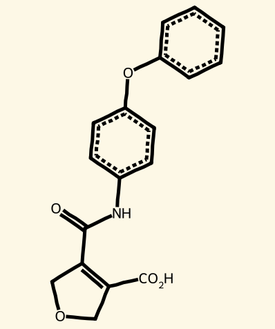 O=C(O)C1=C(C(=O)Nc2ccc(Oc3ccccc3)cc2)COC1